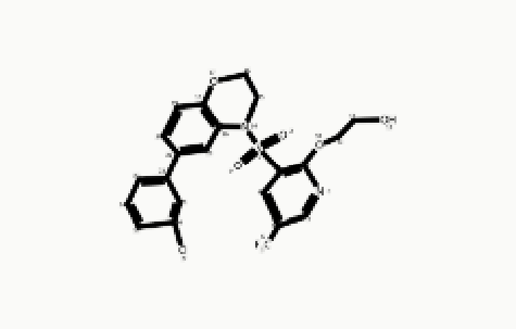 O=S(=O)(c1cc(C(F)(F)F)cnc1OCCO)N1CCOc2ccc(-c3cccc(Cl)c3)cc21